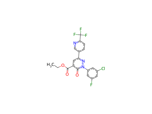 CCOC(=O)c1cc(-c2ccc(C(F)(F)F)nc2)nn(-c2cc(F)cc(Cl)c2)c1=O